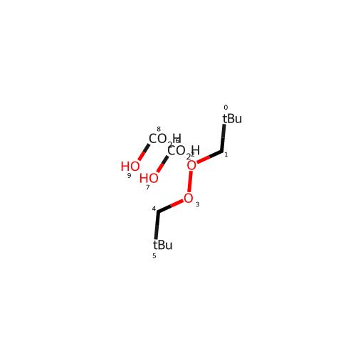 CC(C)(C)COOCC(C)(C)C.O=C(O)O.O=C(O)O